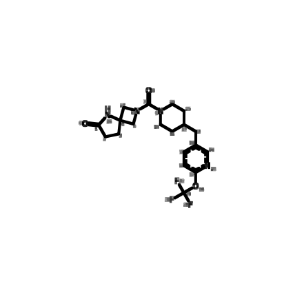 O=C1CCC2(CN(C(=O)N3CCC(Cc4ccc(OC(F)(F)F)nc4)CC3)C2)N1